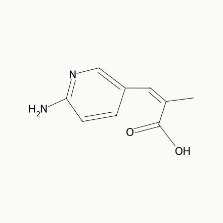 CC(=Cc1ccc(N)nc1)C(=O)O